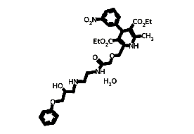 CCOC(=O)C1=C(C)NC(COCC(=O)NCCNCC(O)COc2ccccc2)=C(C(=O)OCC)C1c1cccc([N+](=O)[O-])c1.O